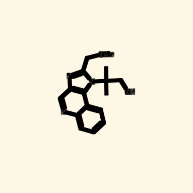 COCc1nc2cnc3ccccc3c2n1C(C)(C)CO